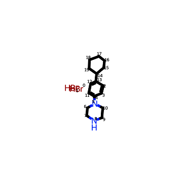 Br.Br.c1cc(N2CCNCC2)ccc1C1CCCCC1